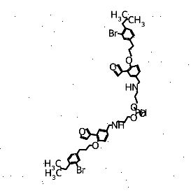 CC(C)Cc1ccc(CCCOc2ccc(CNCCCO[PH](=O)OCCCNCc3ccc(OCCCc4ccc(CC(C)C)c(Br)c4)c(-c4ccoc4)c3)cc2-c2ccoc2)cc1Br